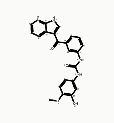 COc1ccc(NC(=O)Nc2cccc(C(=O)c3c[nH]c4ncccc34)c2)cc1O